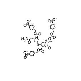 CC(OC(=O)OCc1ccc([N+](=O)[O-])cc1)[C@H]1C(=O)N2C(C(=O)OCc3ccc([N+](=O)[O-])cc3)=C(S[C@H]3C[C@@H](CC(N)=O)N(C(=O)OCc4ccc([N+](=O)[O-])cc4)C3)C[C@H]12